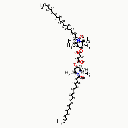 CCCCCCCCCCCCCCCCCC(=O)N1C(C)(C)CC(OC(=O)CCC(=O)OC2CC(C)(C)N(C(=O)CCCCCCCCCCCCCCCCC)C(C)(C)C2)CC1(C)C